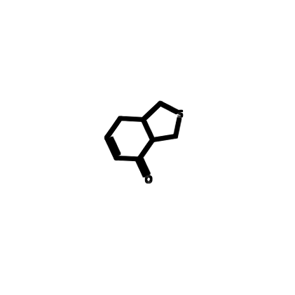 O=C1C=CCC2CSCC12